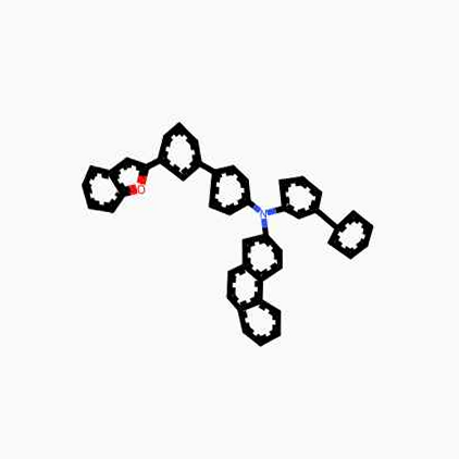 c1ccc(-c2cccc(N(c3ccc(-c4cccc(-c5cc6ccccc6o5)c4)cc3)c3ccc4c(ccc5ccccc54)c3)c2)cc1